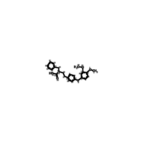 COc1ccc(Sc2ccc(CCN(Cc3ccccc3)C(=O)O)cc2)cc1OC